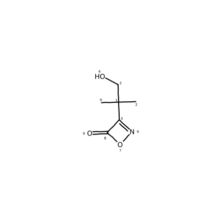 CC(C)(CO)C1=NOC1=O